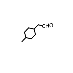 CC1CCC(CC=O)CC1